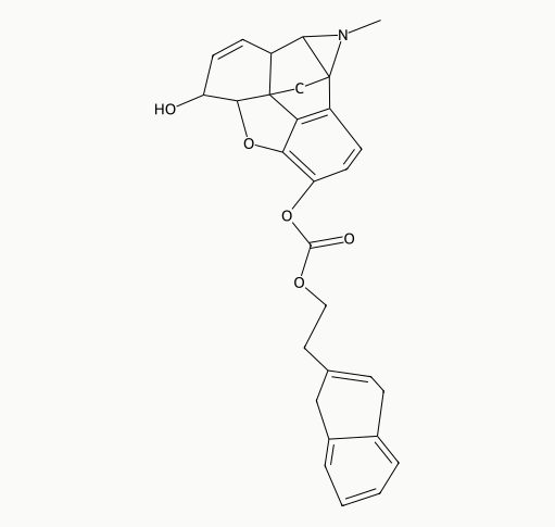 CN1C2C3C=CC(O)C4Oc5c(OC(=O)OCCC6=CCc7ccccc7C6)ccc6c5C34CC621